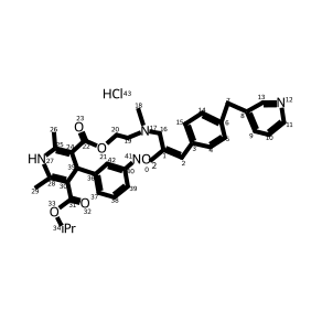 CC(=Cc1ccc(Cc2cccnc2)cc1)CN(C)CCOC(=O)C1=C(C)NC(C)=C(C(=O)OC(C)C)C1c1cccc([N+](=O)[O-])c1.Cl